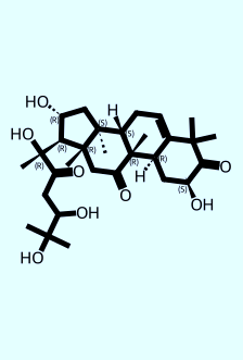 CC1(C)C(=O)[C@@H](O)C[C@@H]2C1=CC[C@@H]1[C@@]2(C)C(=O)C[C@]2(C)[C@@H]([C@@](C)(O)C(=O)CC(O)C(C)(C)O)[C@H](O)C[C@@]12C